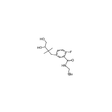 CC(C)(C)CNC(=O)c1cc(CC(C)(C)C(O)CO)ccc1F